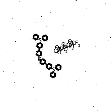 O=S(=O)([O-])C(F)(F)F.O=S(=O)([O-])C(F)(F)F.O=S(=O)([O-])C(F)(F)F.c1ccc([S+](c2ccccc2)c2ccc(-c3ccc([I+]c4ccc(-c5ccc([S+](c6ccccc6)c6ccccc6)cc5)cc4)cc3)cc2)cc1